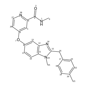 CNC(=O)c1cc(Oc2ccc3c(c2)nc(Cc2ccc(C)cc2)n3C)ccn1